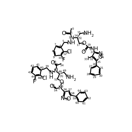 CC(=O)N(NCc1cccc(F)c1Cl)[C@@H](CN)COC(=O)Nc1noc(-c2ccccc2)c1I.CC(=O)N(NCc1cccc(F)c1Cl)[C@@H](CN)CON(C=O)c1cc(-c2ccccc2)on1